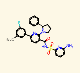 CC(C)COc1cc(F)cc(-c2ccc(C(=O)NS(=O)(=O)c3cccc(N)n3)c(N3CCC[C@@H]3c3ccccc3)n2)c1